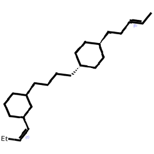 C/C=C/CC[C@H]1CC[C@H](CCCCC2CCCC(/C=C\CC)C2)CC1